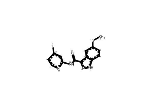 COc1ccc2[nH]nc(C(=O)Nc3cc(I)ccn3)c2c1